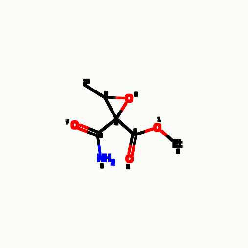 CCOC(=O)C1(C(N)=O)OC1C